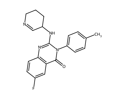 Cc1ccc(-n2c(NC3C=NCCC3)nc3ccc(F)cc3c2=O)cc1